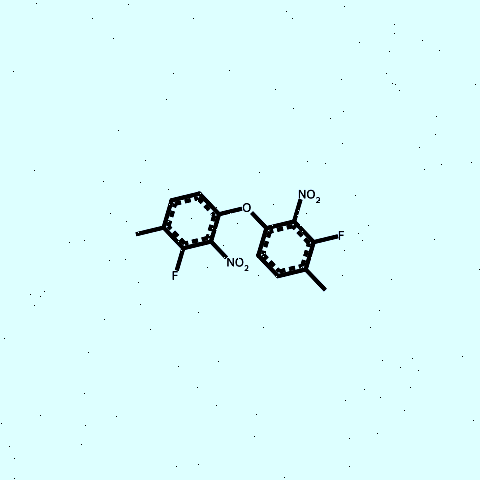 Cc1ccc(Oc2ccc(C)c(F)c2[N+](=O)[O-])c([N+](=O)[O-])c1F